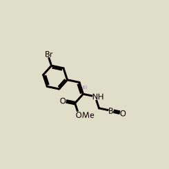 COC(=O)/C(=C\c1cccc(Br)c1)NCB=O